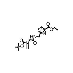 CCOC(=O)c1csc(CNC(=O)CNC(=O)OC(C)(C)C)n1